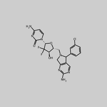 Nc1ccn([C@@H]2O[C@H](CN3Cc4nc(N)ncc4C3c3cccc(Cl)c3)[C@@H](O)C2(F)F)c(=O)n1